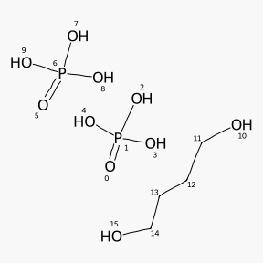 O=P(O)(O)O.O=P(O)(O)O.OCCCCO